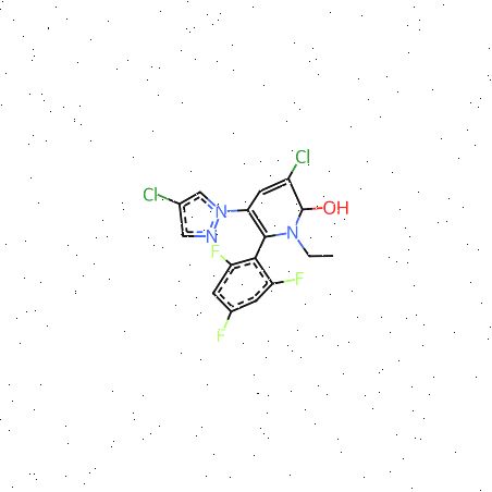 CCN1C(c2c(F)cc(F)cc2F)=C(n2cc(Cl)cn2)C=C(Cl)C1O